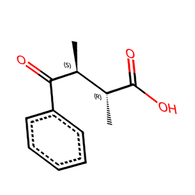 C[C@H](C(=O)c1ccccc1)[C@@H](C)C(=O)O